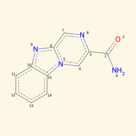 NC(=O)c1cn2c(cn1)nc1ccccc12